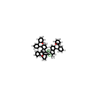 CCC1=Cc2c(ccc(C(C)(C)C)c2-c2ccccc2-c2ccccc2)[CH]1[Zr]([Cl])([Cl])([c]1cccc2c1[SiH2]c1ccccc1-2)[CH]1C(CC)=Cc2c1ccc(C(C)(C)C)c2-c1ccccc1-c1ccccc1